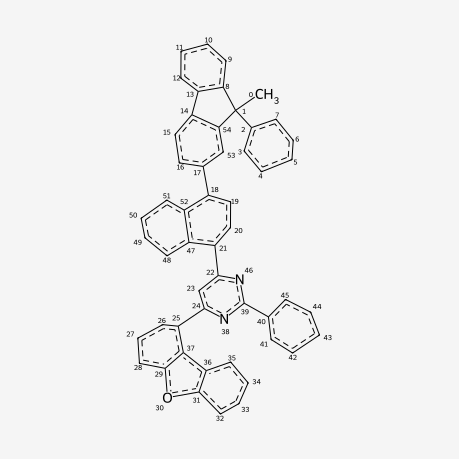 CC1(c2ccccc2)c2ccccc2-c2ccc(-c3ccc(-c4cc(-c5cccc6oc7ccccc7c56)nc(-c5ccccc5)n4)c4ccccc34)cc21